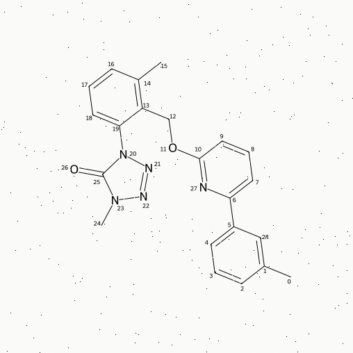 Cc1cccc(-c2cccc(OCc3c(C)cccc3-n3nnn(C)c3=O)n2)c1